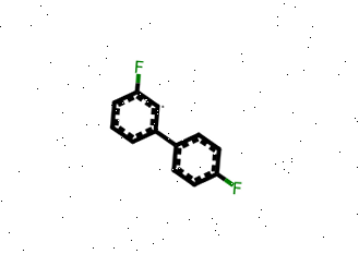 Fc1[c]c(-c2ccc(F)cc2)ccc1